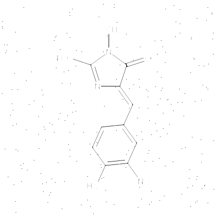 CC1=N/C(=C\c2ccc(O)c([N+](=O)[O-])c2)C(=O)N1C